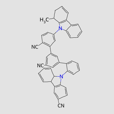 CC1CC=Cc2c1n(-c1ccc(C#N)c(-c3cc(C#N)cc(-c4ccccc4N4c5ccc(C#N)cc5C5C=CC=CC54)c3)c1)c1ccccc21